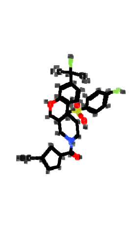 O=C(O)C1CCC(C(=O)N2CCC3(S(=O)(=O)c4ccc(F)cc4)c4ccc(C(F)(C(F)(F)F)C(F)(F)F)cc4OCC3C2)C1